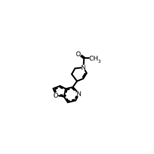 CC(=O)N1C=CC(c2nccc3occc23)CC1